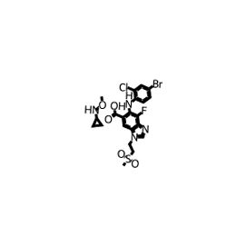 CONC1CC1.CS(=O)(=O)CCn1cnc2c(F)c(Nc3ccc(Br)cc3Cl)c(C(=O)O)cc21